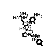 Cc1ccc(S(=O)(=O)NCC(=O)N2CCC[C@H]2C(=O)N[C@@H](CCCNC(=N)N)C(=O)NC2(C)C=CC(N)=CC2C)cc1